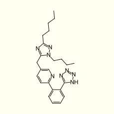 CCCCCc1nc(Cc2ccc(-c3ccccc3-c3nnn[nH]3)nc2)n(CCCC)n1